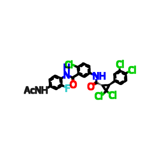 CC(=O)Nc1ccc(NC(=O)c2cc(NC(=O)[C@@H]3[C@@H](c4ccc(Cl)c(Cl)c4)C3(Cl)Cl)ccc2Cl)c(F)c1